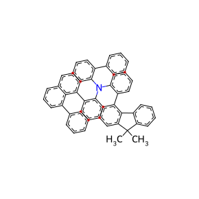 CC1(C)c2ccccc2-c2c(-c3ccccc3N(c3ccccc3-c3ccccc3)c3ccccc3-c3cccc4cccc(-c5ccccc5)c34)cccc21